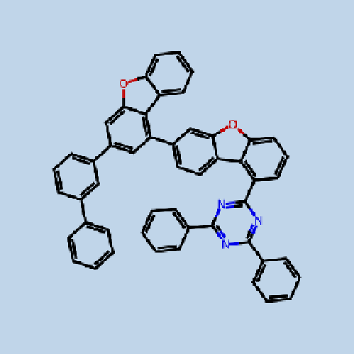 c1ccc(-c2cccc(-c3cc(-c4ccc5c(c4)oc4cccc(-c6nc(-c7ccccc7)nc(-c7ccccc7)n6)c45)c4c(c3)oc3ccccc34)c2)cc1